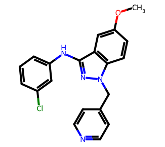 COc1ccc2c(c1)c(Nc1cccc(Cl)c1)nn2Cc1ccncc1